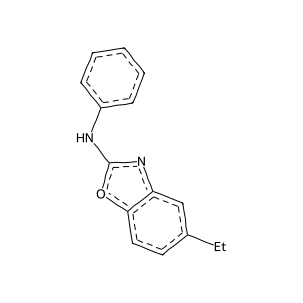 CCc1ccc2oc(Nc3ccccc3)nc2c1